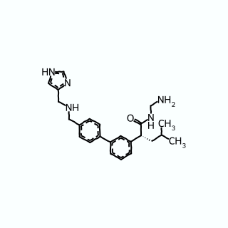 CC(C)C[C@@H](C(=O)NCN)c1cccc(-c2ccc(CNCc3c[nH]cn3)cc2)c1